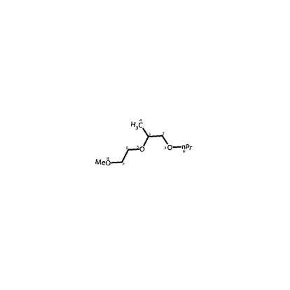 CCCOCC(C)OCCOC